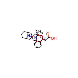 CC(=O)N(c1ccccc1/C=C/C(=O)O)C1CC2CCCC(C1)N2C1CC2CCCC(C2)C1